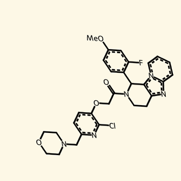 COc1ccc(C2c3c(nc4ccccn34)CCN2C(=O)COc2ccc(CN3CCOCC3)nc2Cl)c(F)c1